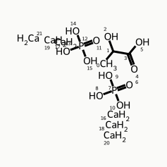 CC(O)C(=O)O.O=P(O)(O)O.O=P(O)(O)O.[CaH2].[CaH2].[CaH2].[CaH2].[CaH2].[CaH2]